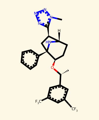 C[C@@H](O[C@@H]1CC[C@@H]2N[C@@]1(c1ccccc1)C[C@H]2c1nnnn1C)c1cc(C(F)(F)F)cc(C(F)(F)F)c1